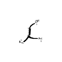 CC(=O)C(=CO)C(C)=O